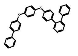 c1ccc(-c2ccc(Sc3ccc(Sc4ccc(-c5ccccc5-c5ccccc5)cc4)cc3)cc2)cc1